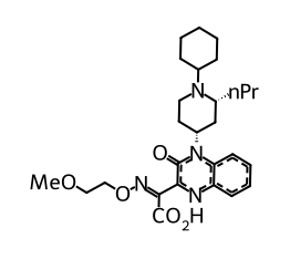 CCC[C@@H]1C[C@H](n2c(=O)c(/C(=N/OCCOC)C(=O)O)nc3ccccc32)CCN1C1CCCCC1